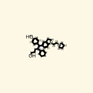 OCCC/C(C1=CCCC=C1)=C(\c1ccc(O)cc1)c1ccc2c(c1)CCN2CCN1CCCC1